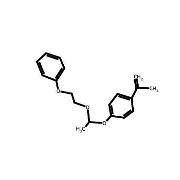 C=C(C)c1ccc(OC(C)OCCOc2ccccc2)cc1